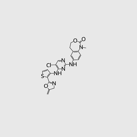 C=C1CN=C(c2sccc2Nc2nc(Nc3ccc4c(c3)CCOC(=O)N4C)ncc2Cl)O1